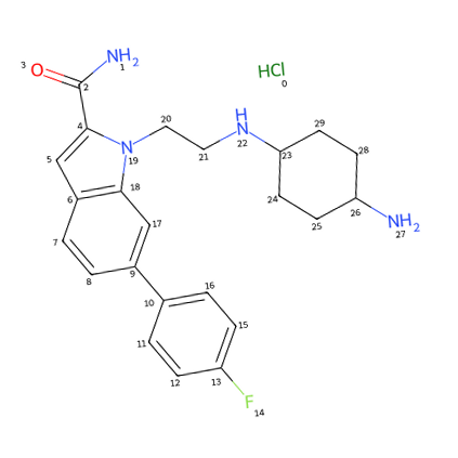 Cl.NC(=O)c1cc2ccc(-c3ccc(F)cc3)cc2n1CCNC1CCC(N)CC1